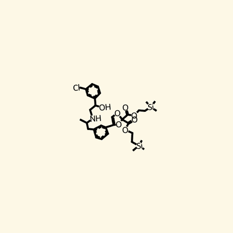 CC(Cc1cccc(C2=COC(C(=O)OCC[Si](C)(C)C)(C(=O)OCC[Si](C)(C)C)O2)c1)NCC(O)c1cccc(Cl)c1